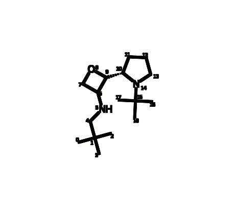 CC(C)(C)CNC1COC1[C@@H]1CCCN1C(C)(C)C